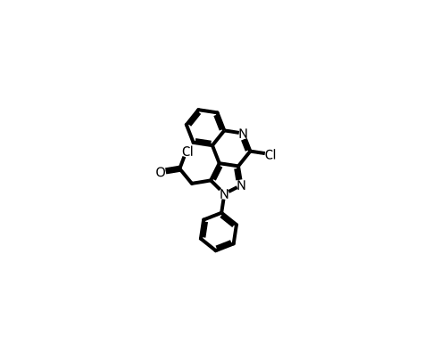 O=C(Cl)Cc1c2c(nn1-c1ccccc1)c(Cl)nc1ccccc12